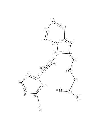 O=C(O)COCc1nc2ccccn2c1C#Cc1cccc(F)c1